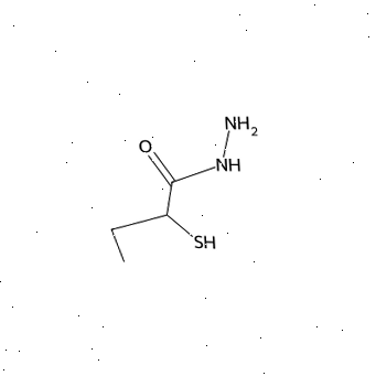 CCC(S)C(=O)NN